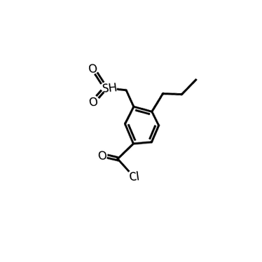 CCCc1ccc(C(=O)Cl)cc1C[SH](=O)=O